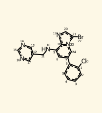 Clc1ccccc1-c1cc(NCc2cncnc2)c2ncc(Br)n2c1